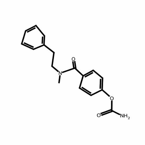 CN(CCc1ccccc1)C(=O)c1ccc(OC(N)=O)cc1